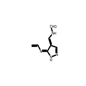 C=C/N=C1/NN=C/C1=C\NC=O